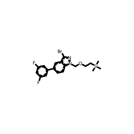 C[Si](C)(C)CCOCn1nc(Br)c2cc(-c3cc(F)cc(F)c3)ccc21